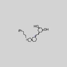 CC(C)CCCC[C@H]1CC[C@]2(CCC/C(=C\C=C3C[C@@H](O)C[C@H](O)C3)C2)C1